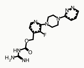 N=C(N)NC(=O)OCc1ccnc(N2CCN(c3cccnn3)CC2)c1F